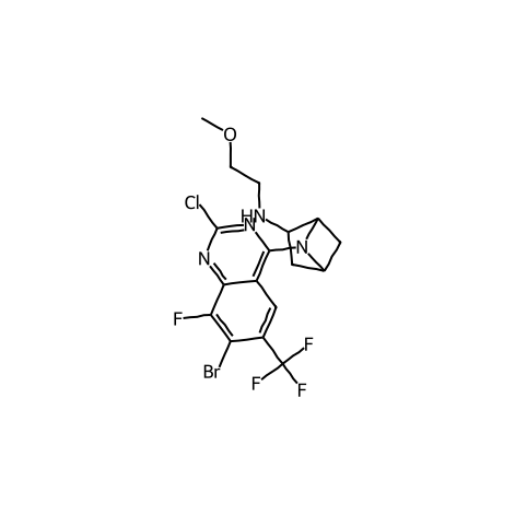 COCCNC1CC2CC1N2c1nc(Cl)nc2c(F)c(Br)c(C(F)(F)F)cc12